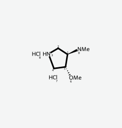 CN[C@@H]1CNC[C@H]1OC.Cl.Cl